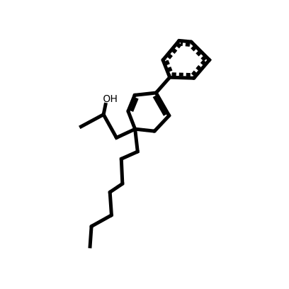 CCCCCCCC1(CC(C)O)C=CC(c2ccccc2)=CC1